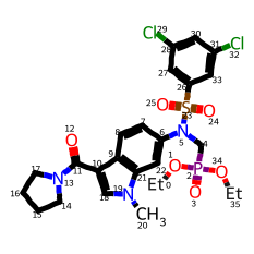 CCOP(=O)(CN(c1ccc2c(C(=O)N3CCCC3)cn(C)c2c1)S(=O)(=O)c1cc(Cl)cc(Cl)c1)OCC